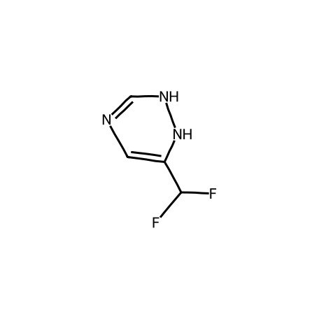 FC(F)C1=CN=CNN1